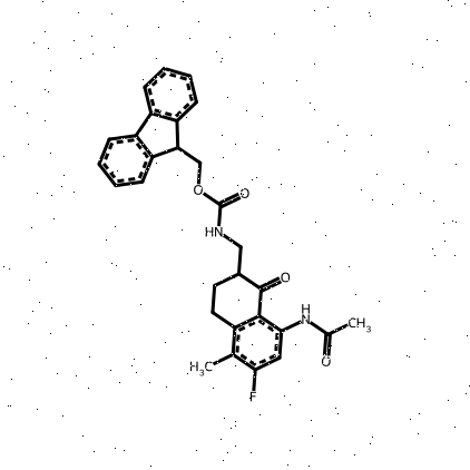 CC(=O)Nc1cc(F)c(C)c2c1C(=O)C(CNC(=O)OCC1c3ccccc3-c3ccccc31)CC2